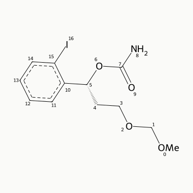 COCOCC[C@@H](OC(N)=O)c1ccccc1I